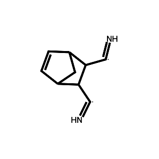 N=[C]C1C2C=CC(C2)C1[C]=N